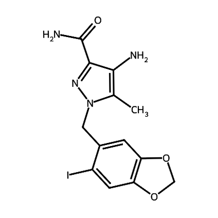 Cc1c(N)c(C(N)=O)nn1Cc1cc2c(cc1I)OCO2